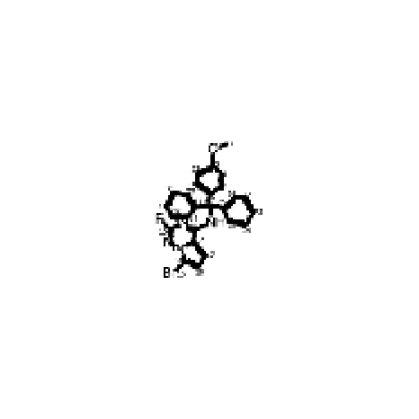 COc1ccc(C(Nc2nc(F)nn3c(Br)ccc23)(c2ccccc2)c2ccccc2)cc1